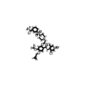 CN(C)C(=O)c1cccc(S(=O)(=O)N2CCN(CC(=O)O[C@@H](Cc3c(Cl)c[n+]([O-])cc3Cl)c3ccc(OC(F)F)c(OCC4CC4)c3)CC2)c1